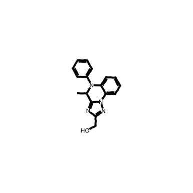 CC1c2nc(CO)nn2-c2ccccc2N1c1ccccc1